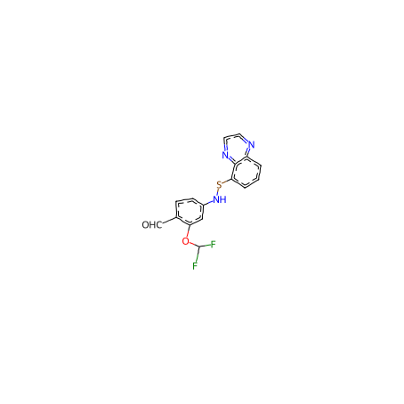 O=Cc1ccc(NSc2cccc3nccnc23)cc1OC(F)F